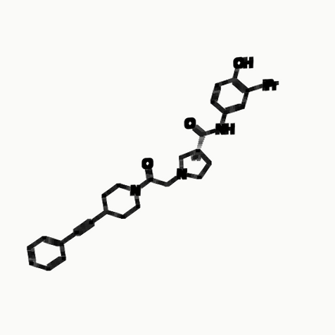 CC(C)c1cc(NC(=O)[C@@H]2CCN(CC(=O)N3CCC(C#Cc4ccccc4)CC3)C2)ccc1O